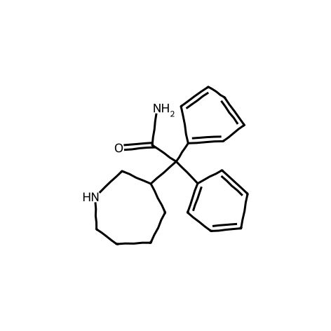 NC(=O)C(c1ccccc1)(c1ccccc1)C1CCCCNC1